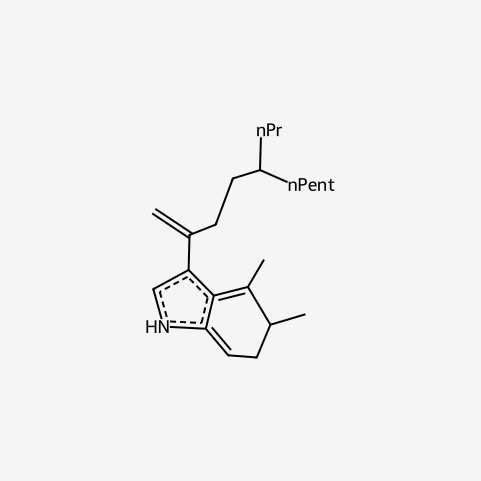 C=C(CCC(CCC)CCCCC)c1c[nH]c2c1=C(C)C(C)CC=2